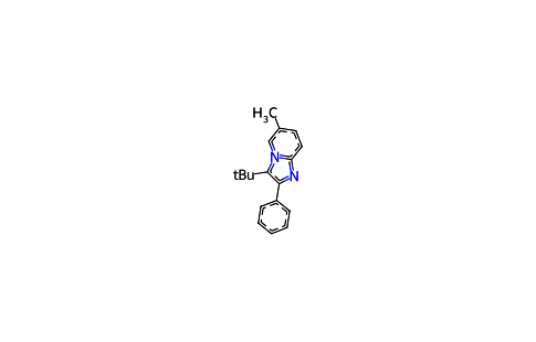 Cc1ccc2nc(-c3ccccc3)c(C(C)(C)C)n2c1